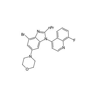 CCCc1nc2c(Br)cc(N3CCOCC3)cc2n1-c1ccnc2c(F)cccc12